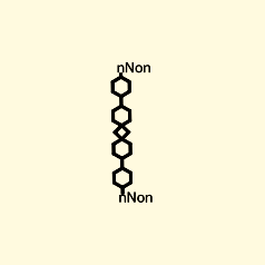 CCCCCCCCCC1CCC(C2CCC3(CC2)CC2(CCC(C4CCC(CCCCCCCCC)CC4)CC2)C3)CC1